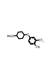 COC1CCC(Oc2ccc(C#N)c(C(F)(F)F)c2)CC1